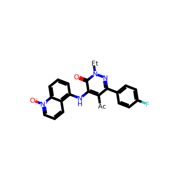 CCn1nc(-c2ccc(F)cc2)c(C(C)=O)c(Nc2cccc3c2ccc[n+]3[O-])c1=O